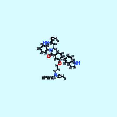 CCCCCN(C)CCCOc1cc(C(=O)N2CC[C@H](C)Nc3ccccc32)ccc1-c1ccc2c(c1)CCN2